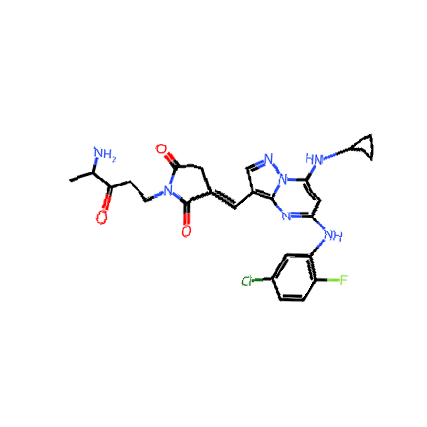 CC(N)C(=O)CCN1C(=O)C/C(=C\c2cnn3c(NC4CC4)cc(Nc4cc(Cl)ccc4F)nc23)C1=O